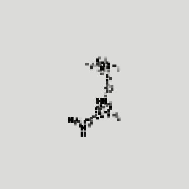 Cc1c[nH]c2ccc(CNC(=O)Cn3c(C)cnc(NCCc4cccc(COCCN(C)C(=O)OC(C)(C)C)c4)c3=O)cc12